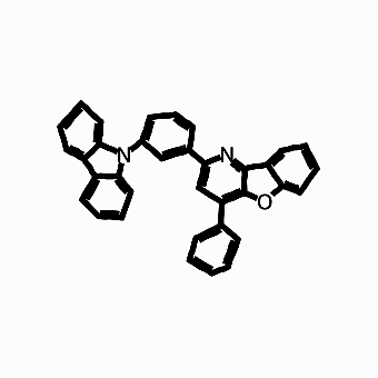 c1ccc(-c2cc(-c3cccc(-n4c5ccccc5c5ccccc54)c3)nc3c2oc2ccccc23)cc1